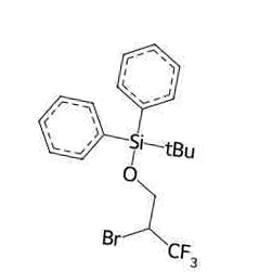 CC(C)(C)[Si](OCC(Br)C(F)(F)F)(c1ccccc1)c1ccccc1